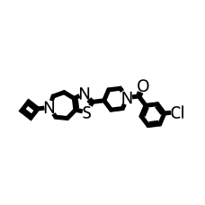 O=C(c1cccc(Cl)c1)N1CCC(c2nc3c(s2)CCN(C2=CC=C2)CC3)CC1